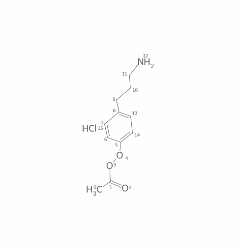 CC(=O)OOc1ccc(CCCN)cc1.Cl